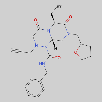 C#CCN1CC(=O)N2[C@@H](CC(C)C)C(=O)N(CC3CCCO3)C[C@@H]2N1C(=O)NCc1ccccc1